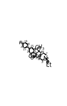 CCSN1CCC2(CC1)CC(=O)C(c1c(C)cc(-c3ccc(F)cc3)cc1OC)C(=O)C2